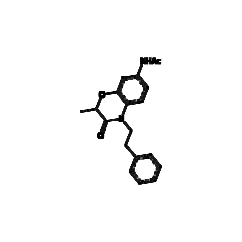 CC(=O)Nc1ccc2c(c1)OC(C)C(=O)N2CCc1ccccc1